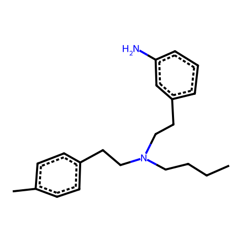 CCCCN(CCc1ccc(C)cc1)CCc1cccc(N)c1